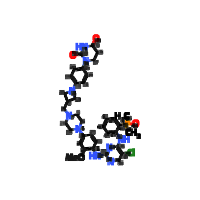 COc1cc(N2CCN(CC3CN(c4ccc(N5CCC(=O)NC5=O)cc4)C3)CC2)ccc1Nc1ncc(Cl)c(Nc2ccccc2P(C)(C)=O)n1